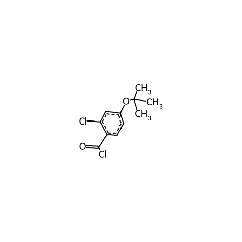 CC(C)(C)Oc1ccc(C(=O)Cl)c(Cl)c1